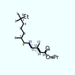 CCC(C)(C)CCCC(C)C/C=C/C(C)=C/C(=O)OC(C)C